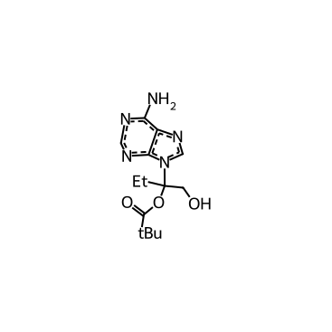 CCC(CO)(OC(=O)C(C)(C)C)n1cnc2c(N)ncnc21